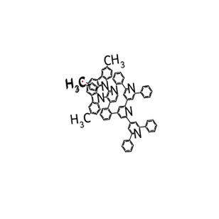 Cc1ccc2c(c1)c1cc(C)ccc1n2-c1nccc(-c2ccccc2-c2cc(-c3cc(-c4ccccc4)nc(-c4ccccc4)c3)nc(-c3cc(-c4ccccc4)nc(-c4ccccc4)c3)c2)c1-n1c2ccc(C)cc2c2cc(C)ccc21